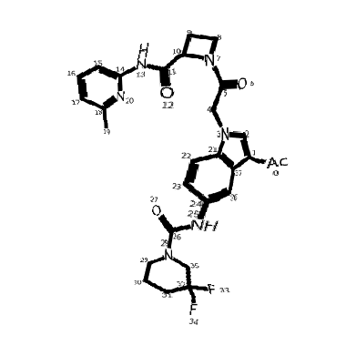 CC(=O)c1cn(CC(=O)N2CCC2C(=O)Nc2cccc(C)n2)c2ccc(NC(=O)N3CCCC(F)(F)C3)cc12